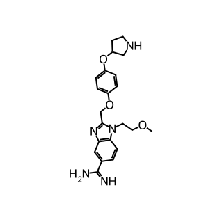 COCCn1c(COc2ccc(OC3CCNC3)cc2)nc2cc(C(=N)N)ccc21